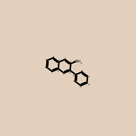 Bc1cc2ccccc2cc1-c1ccccc1